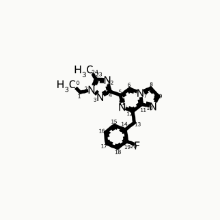 CCn1nc(-c2cn3ccnc3c(Cc3ccccc3F)n2)nc1C